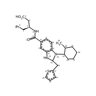 CC(C)C[C@@H](CC(=O)O)NC(=O)c1ccc2c(c1)NC(Cc1cccs1)N2C1CCCCC1C